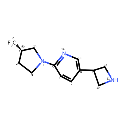 FC(F)(F)[C@@H]1CCN(c2ccc(C3CNC3)cn2)C1